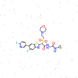 O=C(CNC(=O)C(c1nc2cc(F)c(-c3ccc(F)nc3)cc2s1)S(=O)(=O)CCN1CCOCC1)NC1CC1